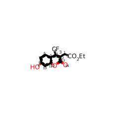 CCOC(=O)Cc1c(C(F)(F)F)c2ccc(O)cc2oc1=O